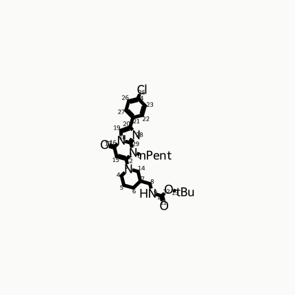 CCCCCn1c(N2CCCC(CNC(=O)OC(C)(C)C)C2)cc(=O)n2cc(-c3ccc(Cl)cc3)nc12